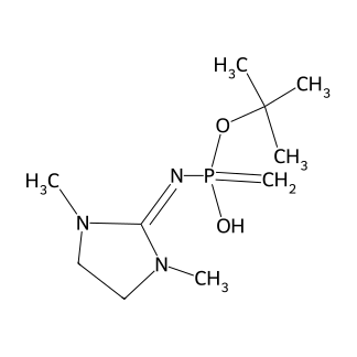 C=P(O)(N=C1N(C)CCN1C)OC(C)(C)C